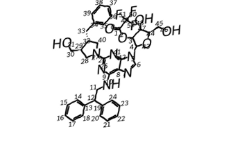 O=C(OC1C(n2cnc3c(NCC(c4ccccc4)c4ccccc4)nc(N4C[C@@H](CO)[C@H](Cc5ccccc5)C4)nc32)O[C@H](CO)[C@@H]1O)C(F)(F)F